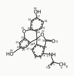 CC(=S)Nc1cccc2c1C(=O)OC21c2ccc(O)cc2Oc2cc(O)ccc21